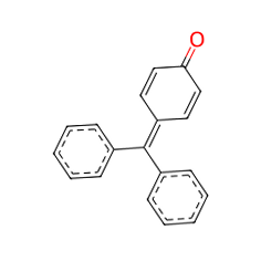 O=C1C=CC(=C(c2ccccc2)c2ccccc2)C=C1